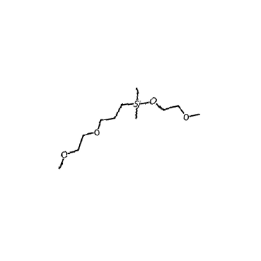 COCCOCCC[Si](C)(C)OCCOC